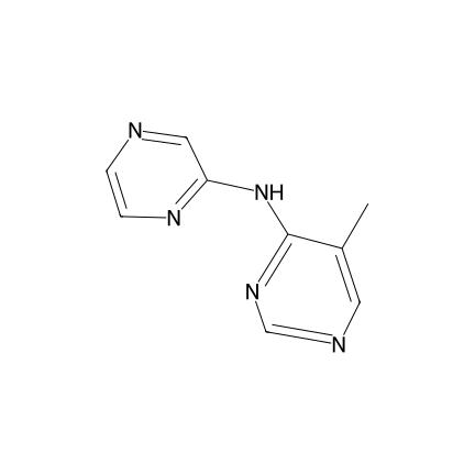 Cc1cncnc1Nc1cnccn1